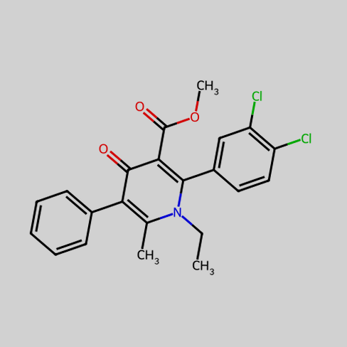 CCn1c(C)c(-c2ccccc2)c(=O)c(C(=O)OC)c1-c1ccc(Cl)c(Cl)c1